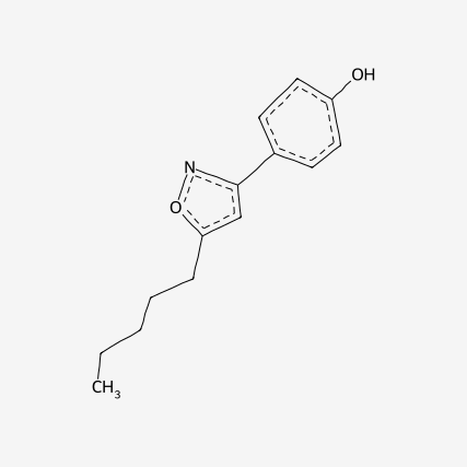 CCCCCc1cc(-c2ccc(O)cc2)no1